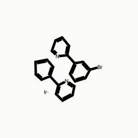 Brc1cccc(-c2ccccn2)c1.[Ir].c1ccc(-c2ccccn2)cc1